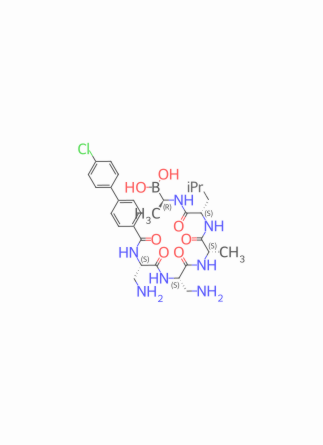 CC(C)C[C@H](NC(=O)[C@H](C)NC(=O)[C@H](CN)NC(=O)[C@H](CN)NC(=O)c1ccc(-c2ccc(Cl)cc2)cc1)C(=O)N[C@@H](C)B(O)O